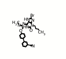 CCCCn1c(=O)[nH]/c(=N\C(COc2ccc(-c3cccc(C#N)c3)cc2)=N/C)c2[nH]c(Br)nc21